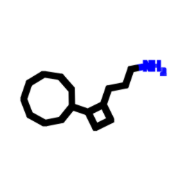 NCCCC1CCC1C1CCCCCCCC1